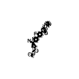 CC(=O)OCC(=O)N1CC2C(C1)C2(C#N)c1ccc(-c2ccc(N3C[C@H](Cn4ccnn4)OC3=O)cc2F)cn1